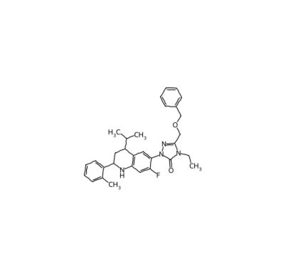 CCn1c(COCc2ccccc2)nn(-c2cc3c(cc2F)NC(c2ccccc2C)CC3C(C)C)c1=O